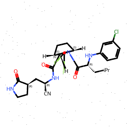 CC(C)C[C@@H](Nc1cccc(Cl)c1)C(=O)N1[C@H]2CC[C@@H]([C@H]1C(=O)N[C@@H](C#N)C[C@H]1CCNC1=O)C(F)(F)C2